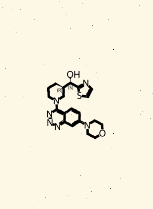 O[C@H](c1nccs1)[C@@H]1CCCN(c2nnnc3cc(N4CCOCC4)ccc23)C1